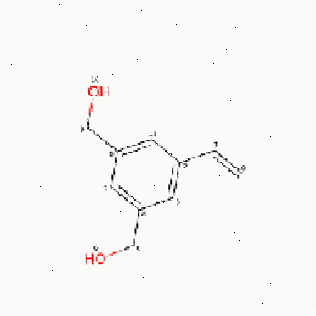 C=Cc1cc(CO)cc(CO)c1